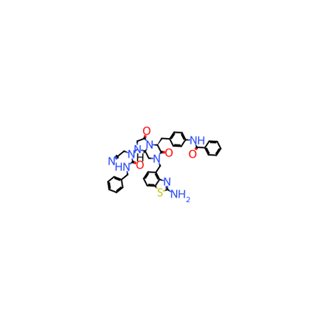 N#CCN(C(=O)NCc1ccccc1)N1CC(=O)N2[C@@H](Cc3ccc(NC(=O)c4ccccc4)cc3)C(=O)N(Cc3cccc4sc(N)nc34)C[C@@H]21